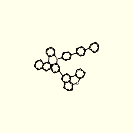 c1ccc(-c2ccc(-c3ccc(N(c4cccc(-c5cc6c7c(cccc7c5)Oc5ccccc5-6)c4)c4ccccc4-c4cccc5ccccc45)cc3)cc2)cc1